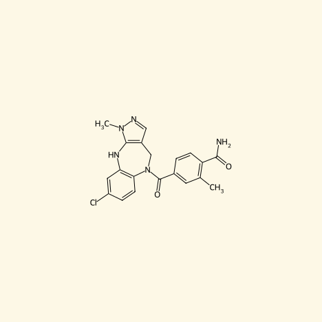 Cc1cc(C(=O)N2Cc3cnn(C)c3Nc3cc(Cl)ccc32)ccc1C(N)=O